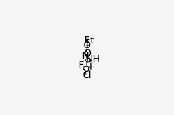 CCSOCCO/N=C1/CC(c2c(F)cc(Cl)cc2F)CN1